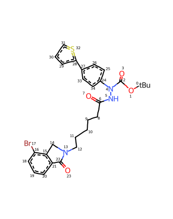 CC(C)(C)OC(=O)N(NC(=O)CCCCCN1Cc2c(Br)cccc2C1=O)c1ccc(-c2cccs2)cc1